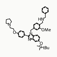 COc1cc(Cn2c(-c3ccc(OCCN4CCCC4)cc3)nc3cc(O[Si](C)(C)C(C)(C)C)ccc32)ccc1CNCc1ccccc1